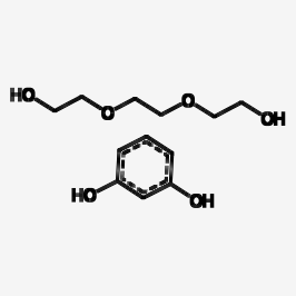 OCCOCCOCCO.Oc1cccc(O)c1